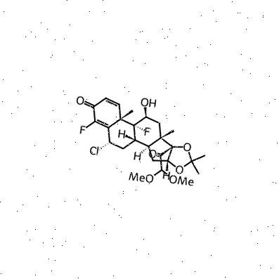 COC(OC)C(=O)[C@@]12OC(C)(C)O[C@@H]1C[C@H]1[C@@H]3C[C@H](Cl)C4=C(F)C(=O)C=C[C@]4(C)[C@@]3(F)[C@@H](O)C[C@@]12C